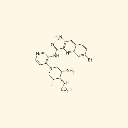 CCc1ccc2cc(N)c(C(=O)Nc3cnccc3N3C[C@@H](C)[C@H](NC(=O)O)[C@@H](N)C3)nc2c1